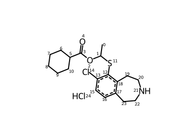 CC(OC(=O)C1CCCCC1)Sc1c(Cl)ccc2c1CCNCC2.Cl